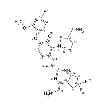 COc1cc(F)ccc1Oc1ccc(/C=C(F)/C(N)=N/C(=C\N)N2CCC(F)(F)C2)c(N2CCCC(CN)C2)c1Cl